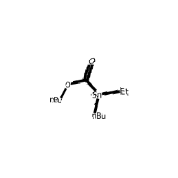 CCCCO[C](=O)[Sn]([CH2]C)[CH2]CCC